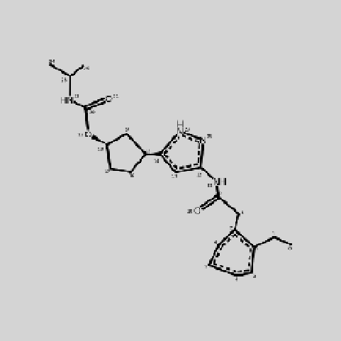 CCc1ccccc1CC(=O)Nc1cc([C@H]2CC[C@@H](OC(=O)NC(C)C)C2)[nH]n1